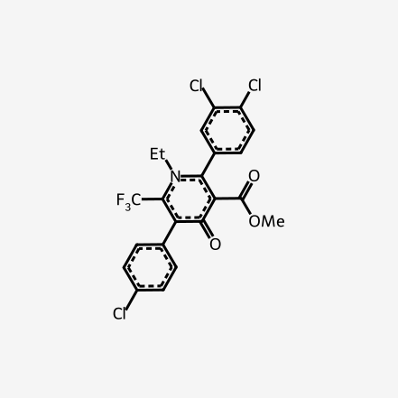 CCn1c(-c2ccc(Cl)c(Cl)c2)c(C(=O)OC)c(=O)c(-c2ccc(Cl)cc2)c1C(F)(F)F